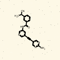 CC(C#N)c1cccc(C(=O)Nc2cncc(C#Cc3cnc(N)nc3)c2)c1